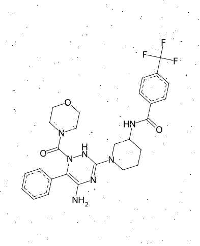 NC1=C(c2ccccc2)N(C(=O)N2CCOCC2)NC(N2CCCC(NC(=O)c3ccc(C(F)(F)F)cc3)C2)=N1